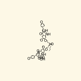 CCCCP(=O)(CCCOc1cc2c(cc1OC)C(=O)N1C=C(c3ccc(OC)cc3)C[C@H]1CN2)CCCOc1cc2c(cc1OC)C(=O)N1C=C(c3ccc(OC)cc3)C[C@H]1C(S(=O)(=O)O)N2